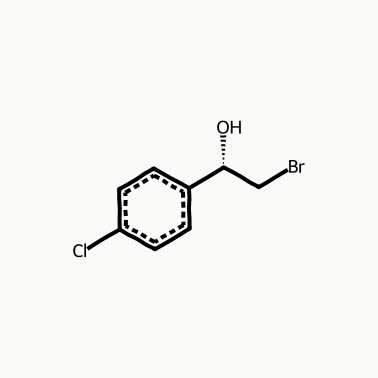 O[C@H](CBr)c1ccc(Cl)cc1